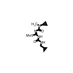 CSC(=NC(=O)N(C)C1CC1)NC(=O)NCC1CC1